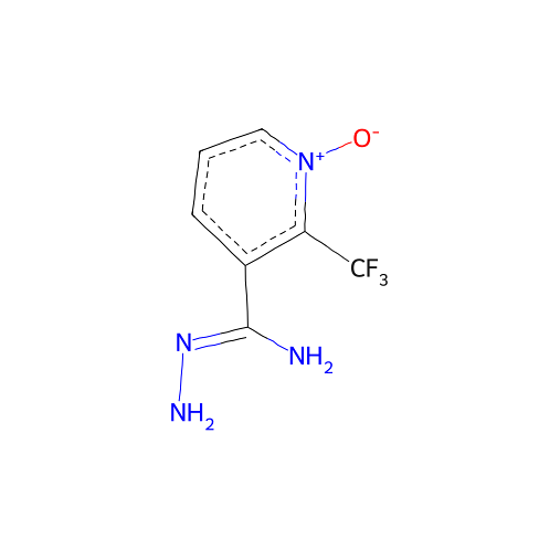 N/N=C(\N)c1ccc[n+]([O-])c1C(F)(F)F